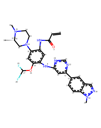 C=CC(=O)Nc1cc(Nc2cc(-c3ccc4c(cnn4C)c3)ncn2)c(OC(F)F)cc1N1CCN(C)[C@@H](C)C1